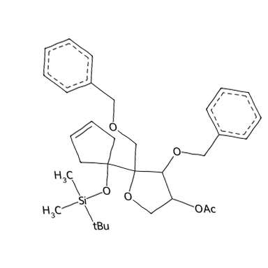 CC(=O)OC1COC(COCc2ccccc2)(C2(O[Si](C)(C)C(C)(C)C)CC=CC2)C1OCc1ccccc1